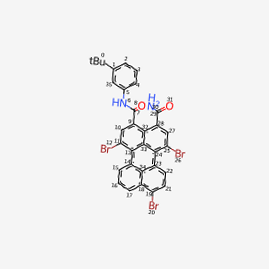 CC(C)(C)c1cccc(NC(=O)c2cc(Br)c3c4cccc5c(Br)ccc(c6c(Br)cc(C(N)=O)c2c63)c54)c1